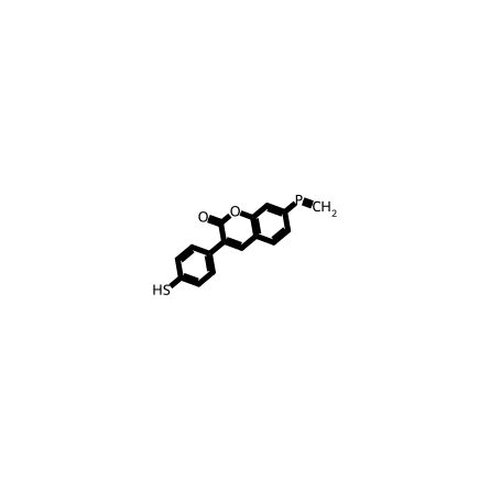 C=Pc1ccc2cc(-c3ccc(S)cc3)c(=O)oc2c1